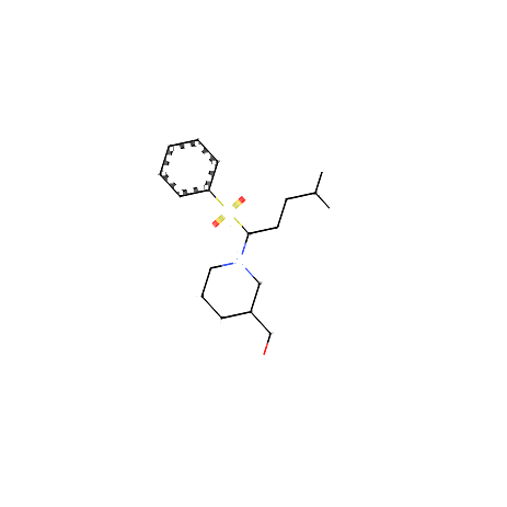 CC(C)CCC(N1CCCC(CO)C1)S(=O)(=O)c1ccccc1